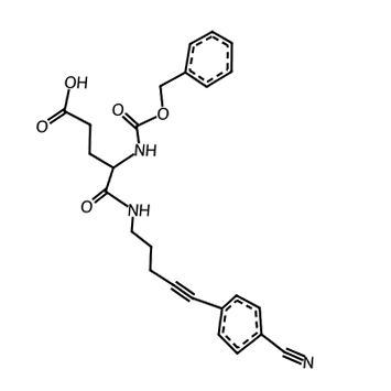 N#Cc1ccc(C#CCCCNC(=O)C(CCC(=O)O)NC(=O)OCc2ccccc2)cc1